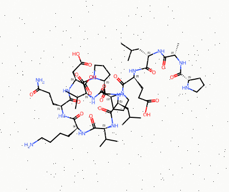 CC(C)C[C@H](NC(=O)[C@H](C)NC(=O)[C@@H]1CCCN1)C(=O)N[C@@H](CCC(=O)O)C(=O)N1CCC[C@H]1C(=O)N[C@H](C(=O)N1CCC[C@H]1C(=O)N[C@@H](CC(C)C)C(=O)N[C@H](C(=O)N[C@@H](CCCCN)C(=O)N[C@@H](CCC(N)=O)C(=O)N[C@@H](CC(=O)O)C(=O)O)C(C)C)C(C)C